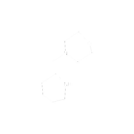 C1CC[C@H](CN2CCOCC2)NC1